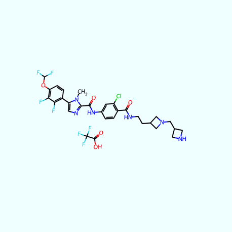 Cn1c(-c2ccc(OC(F)F)c(F)c2F)cnc1C(=O)Nc1ccc(C(=O)NCCC2CN(CC3CNC3)C2)c(Cl)c1.O=C(O)C(F)(F)F